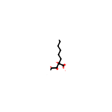 CCCCCCC(O)(C(=O)O)C(=O)C(C)O